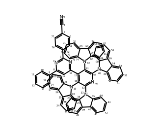 N#Cc1ccc(-c2nc(-c3ccccc3)cc(-c3c(-n4c5ccccc5c5ccccc54)c(-n4c5ccccc5c5ccccc54)nc(-n4c5ccccc5c5ccccc54)c3-n3c4ccccc4c4ccccc43)n2)cc1